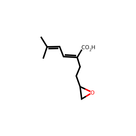 CC(C)=CC=C(CCC1CO1)C(=O)O